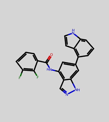 O=C(Nc1cc(-c2cccc3[nH]ccc23)cc2[nH]ncc12)c1cccc(F)c1F